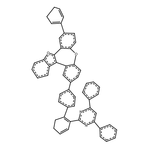 C1=CC(c2ccc3c(c2)-c2oc4ccccc4c2-c2cc(-c4ccc(C5=C(c6nc(-c7ccccc7)cc(-c7ccccc7)n6)C=CCC5)cc4)ccc2O3)=CCC1